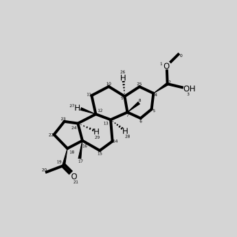 COC(O)[C@H]1CC[C@@]2(C)[C@@H](CC[C@@H]3[C@@H]2CC[C@]2(C)[C@@H](C(C)=O)CC[C@@H]32)C1